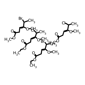 CCOC(=O)C/C=C(\OC)C(C)Br.CCOC(=O)C/C=C(\OC)C(C)Cl.COC(=O)C/C=C(\OC)C(C)Br.COC(=O)C/C=C(\OC)C(C)Cl